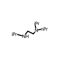 CCCN(CCNC(C)C)C(C)C